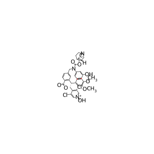 COc1ccc([C@H](Cc2c(Cl)c[n+](O)cc2Cl)c2cc(CN(C(=O)O[C@H]3CN4CCC3CC4)c3cccc(O)c3)ccc2C(=O)[O-])cc1OC